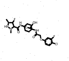 CC1NN(C)C(C(=O)NC23CCC(NC(=O)COc4ccc(Cl)c(F)c4)(CC2)C(O)C3)C1F